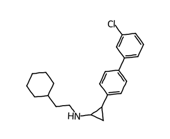 Clc1cccc(-c2ccc(C3CC3NCCC3CCCCC3)cc2)c1